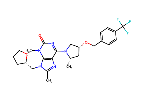 Cc1nc2c(N3C[C@H](OCc4ccc(C(F)(F)F)cc4)C[C@@H]3C)nc(=O)n(C)c2n1C[C@@H]1CCCO1